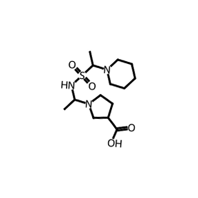 CC(NS(=O)(=O)C(C)N1CCCCC1)N1CCC(C(=O)O)C1